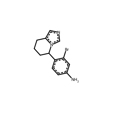 Nc1ccc(C2CCCc3cncn32)c(Br)c1